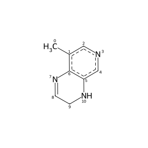 Cc1cncc2c1N=CCN2